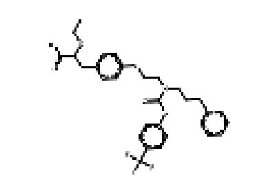 CCOC(Cc1ccc(OCCN(CCCc2ccccc2)C(=O)Oc2ccc(C(F)(F)F)cc2)cc1)C(=O)O